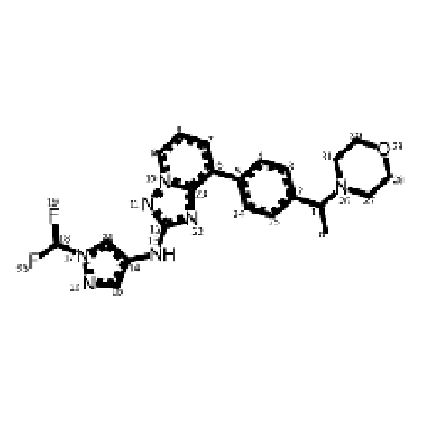 CC(c1ccc(-c2cccn3nc(Nc4cnn(C(F)F)c4)nc23)cc1)N1CCOCC1